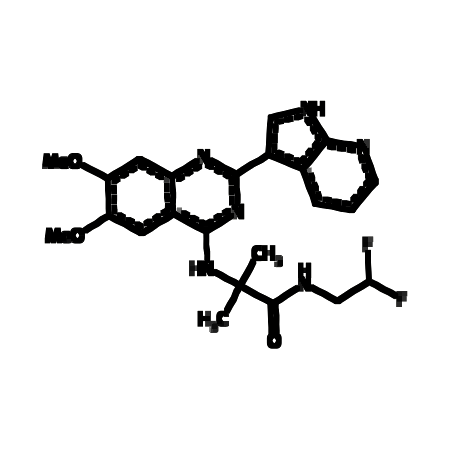 COc1cc2nc(-c3c[nH]c4ncccc34)nc(NC(C)(C)C(=O)NCC(F)F)c2cc1OC